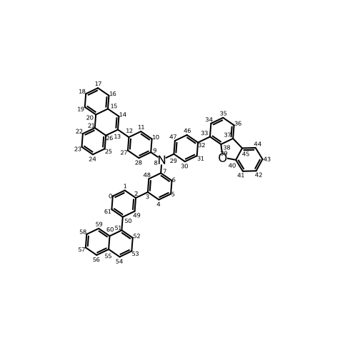 c1cc(-c2cccc(N(c3ccc(-c4cc5ccccc5c5ccccc45)cc3)c3ccc(-c4cccc5c4oc4ccccc45)cc3)c2)cc(-c2cccc3ccccc23)c1